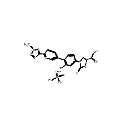 CC(O)[C@@H]1CN(c2ccc(-c3ccc(-c4nnn(C)n4)nc3)c(F)c2)C(=O)O1.O=P(O)(O)O